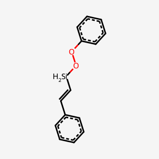 C(=Cc1ccccc1)[SiH2]OOc1ccccc1